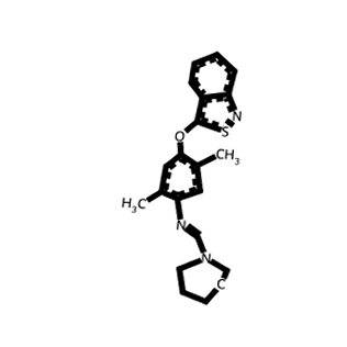 Cc1cc(Oc2snc3ccccc23)c(C)cc1N=CN1CCCCC1